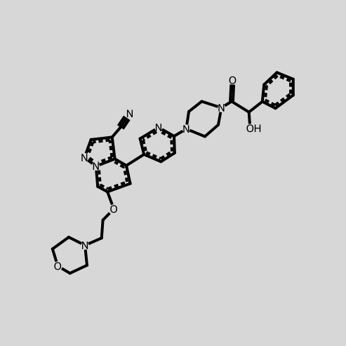 N#Cc1cnn2cc(OCCN3CCOCC3)cc(-c3ccc(N4CCN(C(=O)C(O)c5ccccc5)CC4)nc3)c12